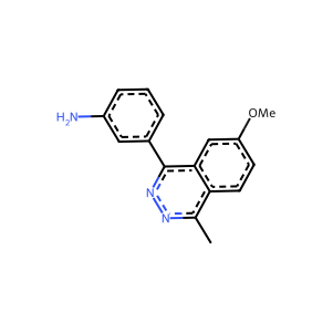 COc1ccc2c(C)nnc(-c3cccc(N)c3)c2c1